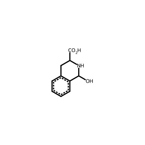 O=C(O)C1Cc2ccccc2C(O)N1